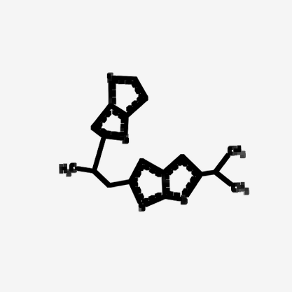 CC(C)c1cc2cc(CC(C)c3cc4sccc4s3)sc2s1